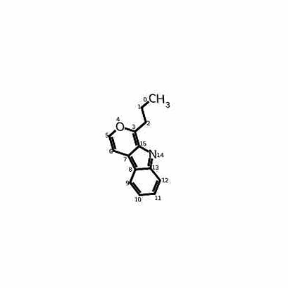 CCCc1occc2c3ccccc3nc1-2